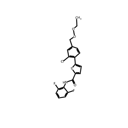 CCOOCc1ccc(-c2ccc(C(=O)Nc3c(F)cccc3F)s2)c(Cl)c1